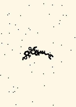 CCOc1cccc(N2Cc3cnc(NCCCCN(CC)CC)nc3N(CC)C2=O)c1F